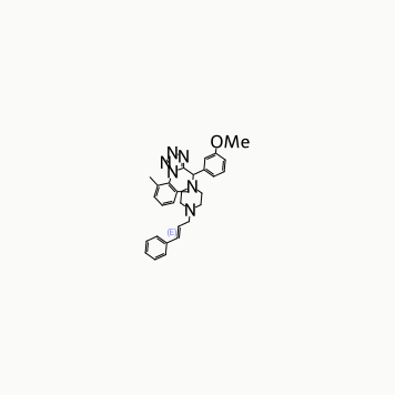 COc1cccc(C(c2nnnn2-c2c(C)cccc2C)N2CCN(C/C=C/c3ccccc3)CC2)c1